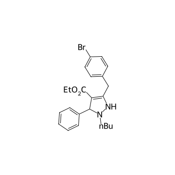 CCCCN1NC(Cc2ccc(Br)cc2)=C(C(=O)OCC)C1c1ccccc1